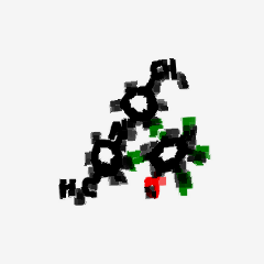 Cc1cc[c]([Al+][c]2ccc(C)cc2)cc1.[O-]c1c(F)c(F)c(F)c(F)c1F